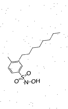 CCCCCCCCc1cc(S(=O)(=O)[N]O)ccc1C